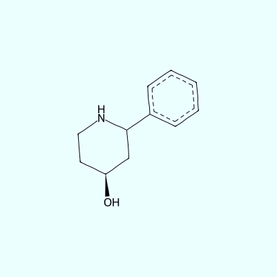 O[C@H]1CCNC(c2ccccc2)C1